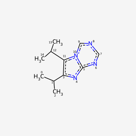 CC(C)c1nc2ncncn2c1C(C)C